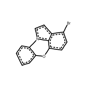 Brc1ccc2c3c1ccn3-c1ccccc1O2